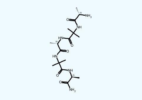 C[C@H](N)C(=O)NC(C)(C)C(=O)N[C@@H](C)C(=O)NC(C)(C)C(=O)N[C@@H](C)C(N)=O